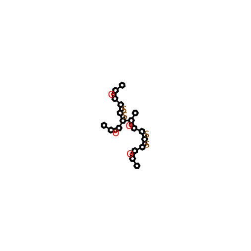 c1ccc(-c2ccc3oc4ccc(-c5ccc6sc7cc8sc9ccc(-c%10ccc%11oc%12c(-c%13cc(-c%14ccc%15oc%16ccc(-c%17ccccc%17)cc%16c%15c%14)cc%14c%13sc%13c%14ccc%14c%15cc(-c%16ccc%17oc%18ccc(-c%19ccccc%19)cc%18c%17c%16)ccc%15sc%14%13)cc(-c%13ccccc%13)cc%12c%11c%10)cc9c8cc7c6c5)cc4c3c2)cc1